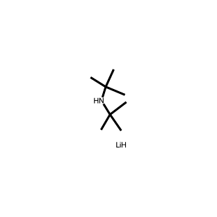 CC(C)(C)NC(C)(C)C.[LiH]